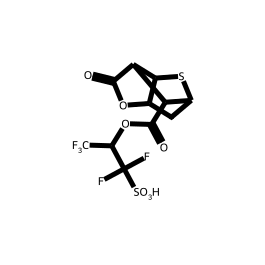 O=C(OC(C(F)(F)F)C(F)(F)S(=O)(=O)O)C1C2CC3OC(=O)C1C3S2